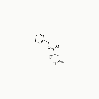 C=C(Cl)CC(=O)C(=O)OCc1ccccc1